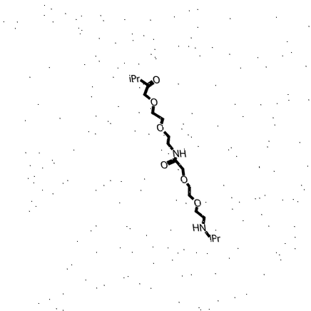 CC(C)NCCOCCOCC(=O)NCCOCCOCC(=O)C(C)C